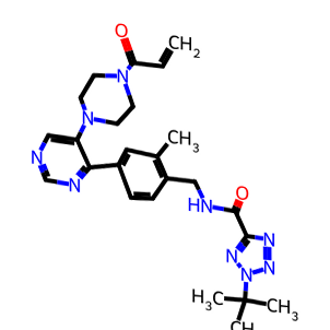 C=CC(=O)N1CCN(c2cncnc2-c2ccc(CNC(=O)c3nnn(C(C)(C)C)n3)c(C)c2)CC1